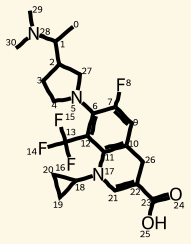 CC(C1CCN(c2c(F)cc3c(c2C(F)(F)F)N(C2CC2)C=C(C(=O)O)C3)C1)N(C)C